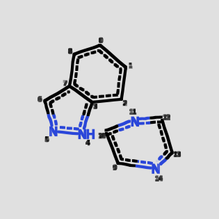 c1ccc2[nH]ncc2c1.c1cnccn1